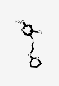 O=C(O)c1cc(C(F)(F)F)c(OCCOC2CCCCO2)cn1